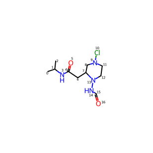 CC(C)NC(=O)CC1CN(Cl)CCN1NC=O